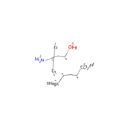 CCC(N)(CC)CO.CCCCCCCCCC(=O)O